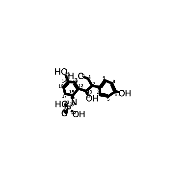 CCC(c1ccc(O)cc1)C(O)C1=CC(O)=CCC1=NP(=O)(O)O